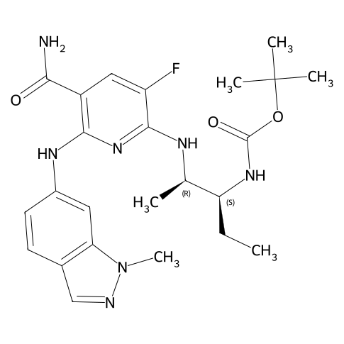 CC[C@H](NC(=O)OC(C)(C)C)[C@@H](C)Nc1nc(Nc2ccc3cnn(C)c3c2)c(C(N)=O)cc1F